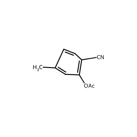 CC(=O)Oc1cc(C)ccc1C#N